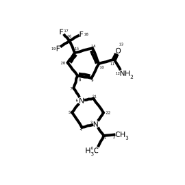 CC(C)N1CCN(Cc2cc(C(N)=O)cc(C(F)(F)F)c2)CC1